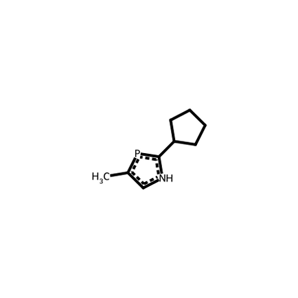 Cc1c[nH]c(C2CCCC2)p1